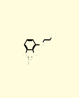 ClCCOc1cccc2c1ONO2